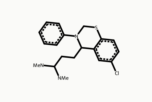 CNC(CCC1c2cc(Cl)ccc2SCN1c1ccccc1)NC